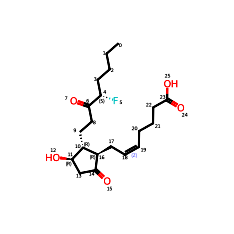 CCCC[C@H](F)C(=O)CC[C@H]1[C@H](O)CC(=O)[C@@H]1C/C=C\CCCC(=O)O